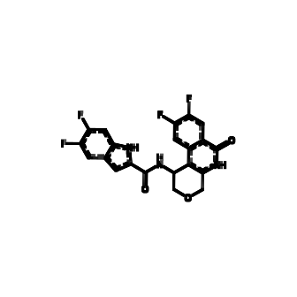 O=C(NC1COCc2[nH]c(=O)c3cc(F)c(F)cc3c21)c1cc2cc(F)c(F)cc2[nH]1